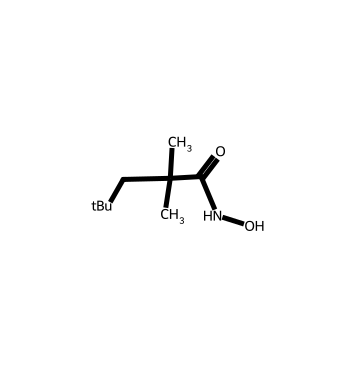 CC(C)(C)CC(C)(C)C(=O)NO